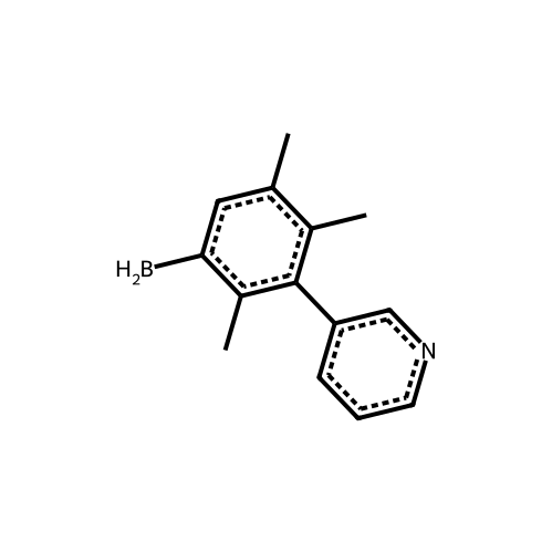 Bc1cc(C)c(C)c(-c2cccnc2)c1C